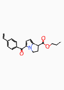 C=Cc1ccc(C(=O)c2ccc3n2CCC3C(=O)OCCC)cc1